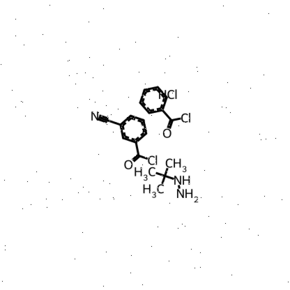 CC(C)(C)NN.Cl.N#Cc1cccc(C(=O)Cl)c1.O=C(Cl)c1ccccc1